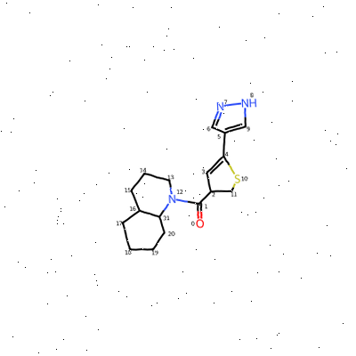 O=C(C1C=C(c2cn[nH]c2)SC1)N1CCCC2CCCCC21